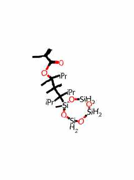 C=C(C)C(=O)OC(C)(C(C)C)C(C)(C)C(C(C)C)(C(C)C)[Si]1(C)O[SiH2]O[SiH2]O[SiH2]O1